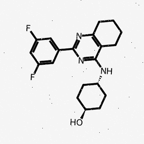 O[C@H]1CC[C@H](Nc2nc(-c3cc(F)cc(F)c3)nc3c2CCCC3)CC1